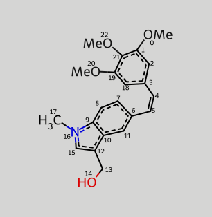 COc1cc(/C=C\c2ccc3c(c2)c(CO)cn3C)cc(OC)c1OC